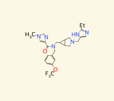 CCc1ncc(CN2CC3C(C2)C3CN(Cc2cccc(OC(F)(F)F)c2)C(=O)c2cn(C)cn2)[nH]1